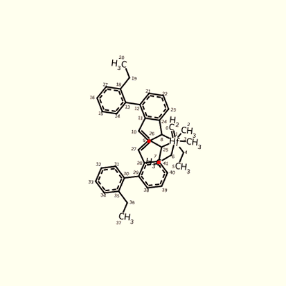 [CH2]=[Hf]([CH3])([CH3])([CH2]C)([CH2]C)([CH]1C=Cc2c(-c3ccccc3CC)cccc21)[CH]1C=Cc2c(-c3ccccc3CC)cccc21